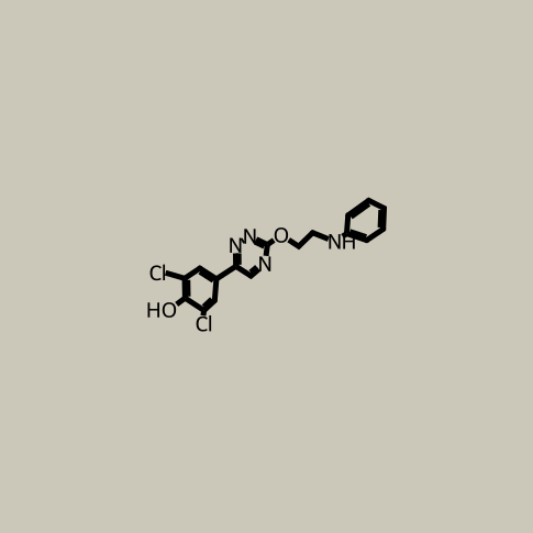 Oc1c(Cl)cc(-c2cnc(OCCNc3ccccc3)nn2)cc1Cl